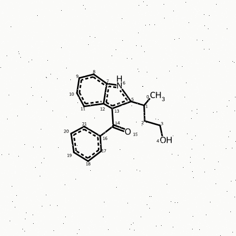 CC(CCO)c1[nH]c2ccccc2c1C(=O)c1ccccc1